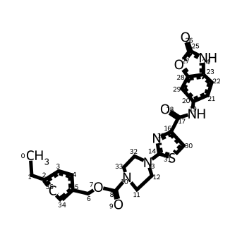 CCc1ccc(COC(=O)N2CCN(c3nc(C(=O)Nc4ccc5[nH]c(=O)oc5c4)cs3)CC2)cc1